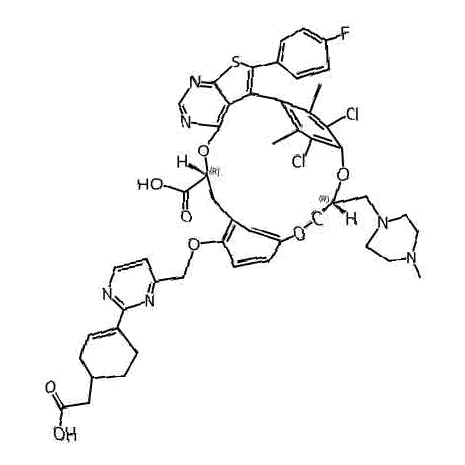 Cc1c(Cl)c2c(Cl)c(C)c1-c1c(-c3ccc(F)cc3)sc3ncnc(c13)O[C@@H](C(=O)O)Cc1cc(ccc1OCc1ccnc(C3=CCC(CC(=O)O)CC3)n1)OC[C@@H](CN1CCN(C)CC1)O2